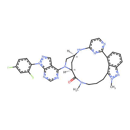 CN1CCCc2c3c(cccc3nn2C)-c2nccc(n2)N[C@H]2C[C@@H](C1=O)N(c1ncnc3c1cnn3-c1ccc(F)cc1F)C2